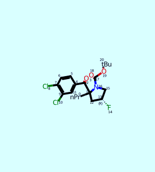 CCCC1(C(=O)c2ccc(Cl)c(Cl)c2)C[C@@H](F)CN1C(=O)OC(C)(C)C